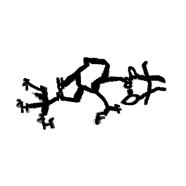 [2H]C([2H])([2H])n1cc2c(C(F)F)c(B3OC(C)(C)C(C)(C)O3)ccc2n1